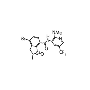 CNc1ncc(C(F)(F)F)cc1NC(=O)c1ccc(Br)c2c1[S+]([O-])C(C)C2